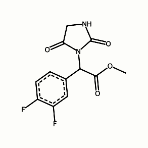 COC(=O)C(c1ccc(F)c(F)c1)N1C(=O)CNC1=O